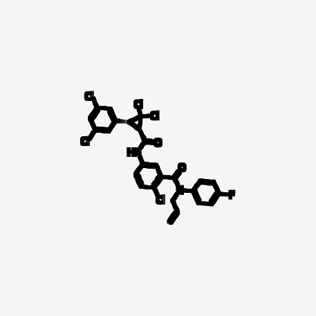 C=CCN(C(=O)c1cc(NC(=O)[C@H]2[C@H](c3cc(Cl)cc(Cl)c3)C2(Cl)Cl)ccc1Cl)c1ccc(F)cc1